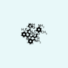 Cc1cc(N)cc(C)c1OCC(=O)[C@@H](C(N)c1ccccc1)[C@@H](O)C[C@H](C(=O)CC(C)CN1CCNC1=O)C(N)c1ccccc1